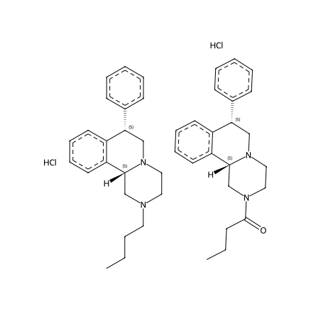 CCCC(=O)N1CCN2C[C@@H](c3ccccc3)c3ccccc3[C@H]2C1.CCCCN1CCN2C[C@@H](c3ccccc3)c3ccccc3[C@H]2C1.Cl.Cl